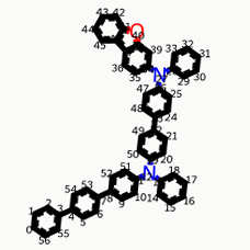 c1ccc(-c2ccc(-c3ccc(N(c4ccccc4)c4ccc(-c5ccc(N(c6ccccc6)c6ccc7c(c6)oc6ccccc67)cc5)cc4)cc3)cc2)cc1